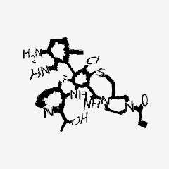 C=CC(=O)N1CCN2C(=N)c3c(Nc4c(C)ccnc4C(C)O)c(F)c(-c4c(C)ccc(N)c4C=N)c(Cl)c3SCC2C1